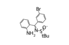 CC(C)(C)[S+]([O-])/N=C(\c1cccc(Br)c1)c1ccccc1N